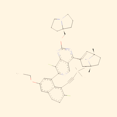 COCOc1cc(-c2ncc3c(C4=C[C@@H]5CC[C@H](C4)N5C(=O)O)nc(OC[C@@]45CCCN4C[C@H](F)C5)nc3c2F)c2c(C#C[Si](C(C)C)(C(C)C)C(C)C)c(F)ccc2c1